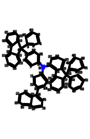 c1ccc(C2(c3ccc(N(c4ccc(-c5cccc6ccccc56)cc4)c4cccc5c4-c4ccccc4C5(c4ccccc4)c4ccccc4)cc3)c3ccccc3-c3ccccc32)cc1